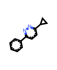 c1ccc(-c2ccc(C3CC3)nn2)cc1